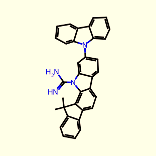 CC1(C)c2ccccc2-c2ccc3c4ccc(-n5c6ccccc6c6ccccc65)cc4n(C(=N)N)c3c21